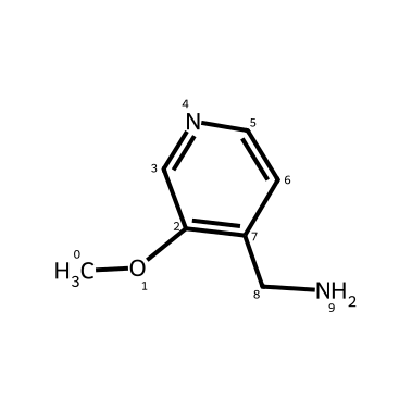 COc1cnccc1CN